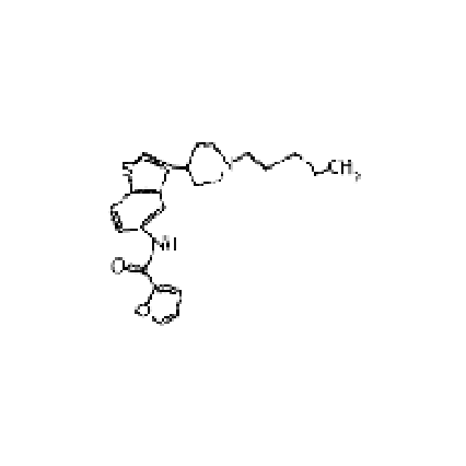 CCCCCN1CCC(c2csc3ccc(NC(=O)c4ccco4)cc23)CC1